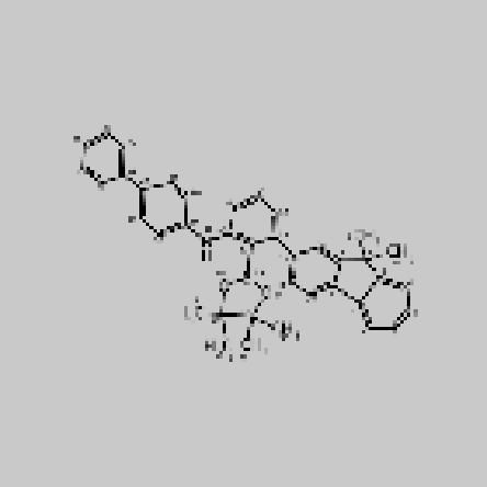 CC1(C)c2ccccc2-c2ccc(-c3cccc(Nc4ccc(-c5ccccc5)cc4)c3B3OC(C)(C)C(C)(C)O3)cc21